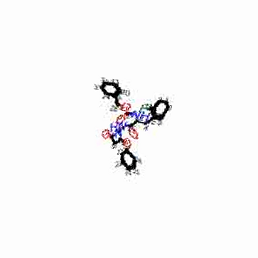 O=C(N[C@@H](Cc1ccccc1F)C(=O)NN1C(=O)CC1Oc1ccccc1)OCc1ccccc1